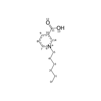 CCCCCC[n+]1cccc(C(=O)O)c1